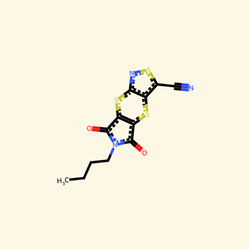 CCCCn1c(=O)c2sc3nsc(C#N)c3sc=2c1=O